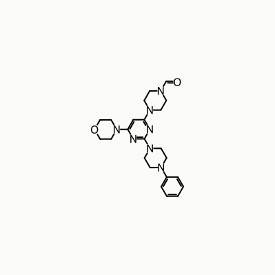 O=CN1CCN(c2cc(N3CCOCC3)nc(N3CCN(c4ccccc4)CC3)n2)CC1